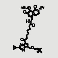 CCCCOc1c2n(c(CNC(=O)CCCCCCC(=O)c3cn(COCC[Si](C)(C)C)c4ncc(C5CC5)nc34)cc1=O)CCN(C(C)C)C2=O